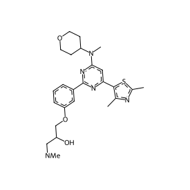 CNCC(O)COc1cccc(-c2nc(-c3sc(C)nc3C)cc(N(C)C3CCOCC3)n2)c1